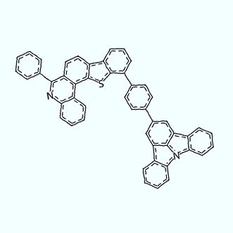 c1ccc(-c2nc3ccccc3c3c2ccc2c4cccc(-c5ccc(-c6cc7c8ccccc8n8c9ccccc9c(c6)c78)cc5)c4sc23)cc1